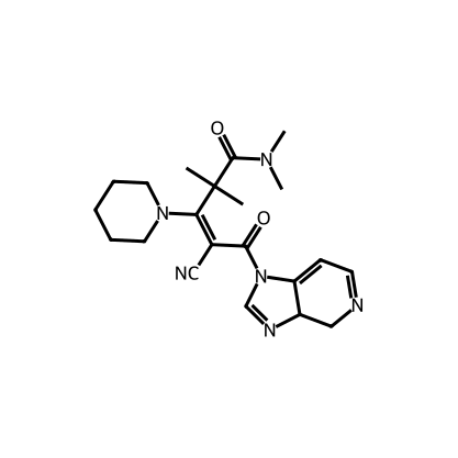 CN(C)C(=O)C(C)(C)C(=C(C#N)C(=O)N1C=NC2CN=CC=C21)N1CCCCC1